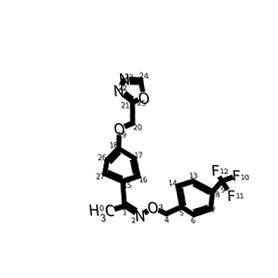 CC(=NOCc1ccc(C(F)(F)F)cc1)c1ccc(OCc2nnco2)cc1